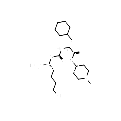 CN1CCC(NC(=O)[C@@H](CC2CCCCC2)NC(=O)N[C@@H](CCCCN)C(=O)O)CC1